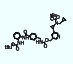 CC(C)(C)OC(=O)Nc1ccccc1NC(=O)c1ccc(CNC(=O)OCc2cncc(C3CC3N(CC3CC3)C(=O)OC(C)(C)C)c2)cc1